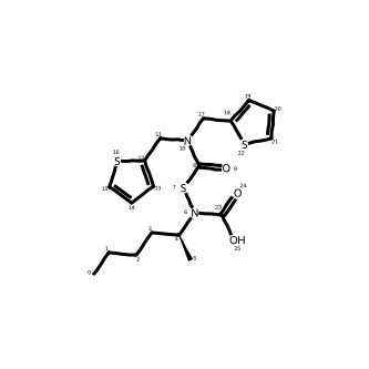 CCCC[C@H](C)N(SC(=O)N(Cc1cccs1)Cc1cccs1)C(=O)O